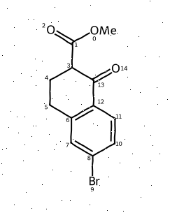 COC(=O)C1CCc2cc(Br)ccc2C1=O